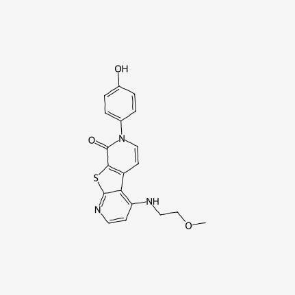 COCCNc1ccnc2sc3c(=O)n(-c4ccc(O)cc4)ccc3c12